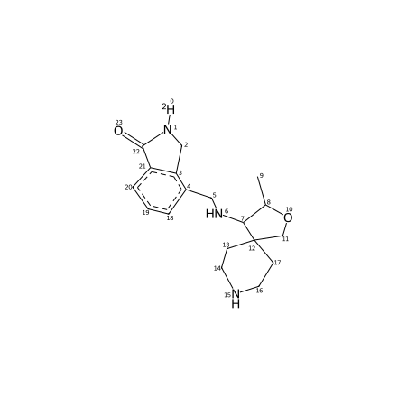 [2H]N1Cc2c(CNC3C(C)OCC34CCNCC4)cccc2C1=O